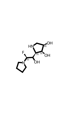 OC([C@H]1NC[C@@H](O)[C@H]1O)[C@H](F)N1CCCC1